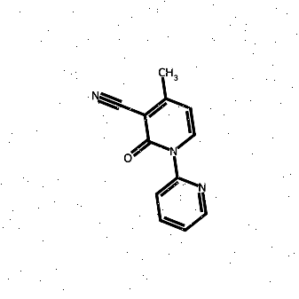 Cc1ccn(-c2ccccn2)c(=O)c1C#N